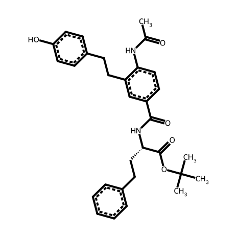 CC(=O)Nc1ccc(C(=O)N[C@@H](CCc2ccccc2)C(=O)OC(C)(C)C)cc1CCc1ccc(O)cc1